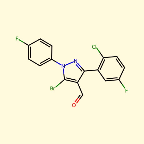 O=Cc1c(-c2cc(F)ccc2Cl)nn(-c2ccc(F)cc2)c1Br